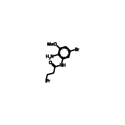 COc1cc(Br)cc(NC(=O)CCC(C)C)c1N